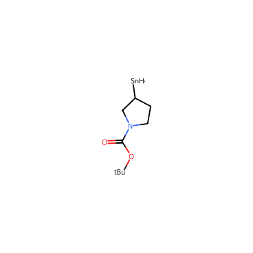 CC(C)(C)OC(=O)N1CC[CH]([SnH])C1